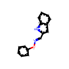 C(=NOc1ccccc1)c1cc2ccccc2[nH]1